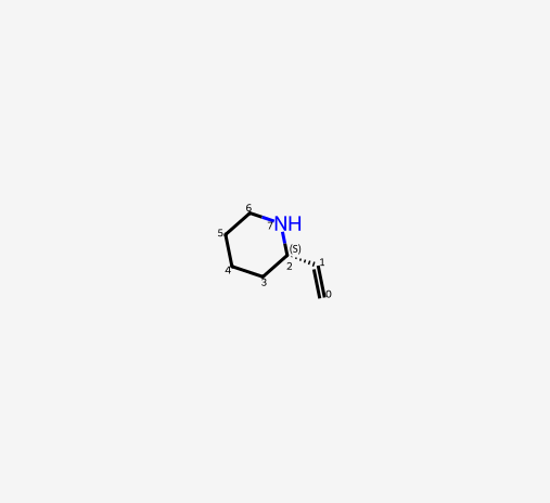 C=C[C@@H]1CCCCN1